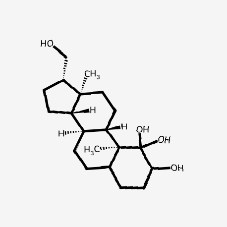 C[C@]12CC[C@H]3[C@@H](CCC4CCC(O)C(O)(O)[C@@]43C)[C@@H]1CC[C@@H]2CO